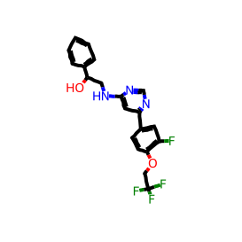 OC(CNc1cc(-c2ccc(OCC(F)(F)F)c(F)c2)ncn1)c1ccccc1